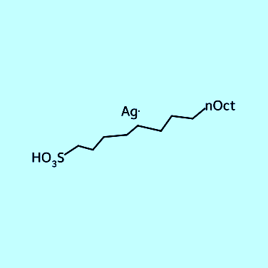 CCCCCCCCCCCCCCCCS(=O)(=O)O.[Ag]